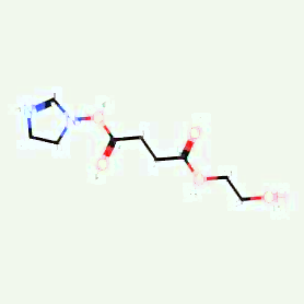 O=C(CCC(=O)ON1C=NCC1)OCCO